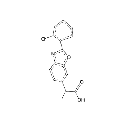 CC(C(=O)O)c1ccc2nc(-c3ccccc3Cl)oc2c1